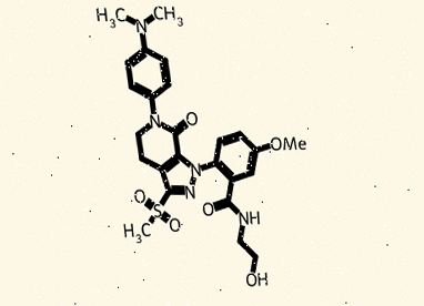 COc1ccc(-n2nc(S(C)(=O)=O)c3c2C(=O)N(c2ccc(N(C)C)cc2)CC3)c(C(=O)NCCO)c1